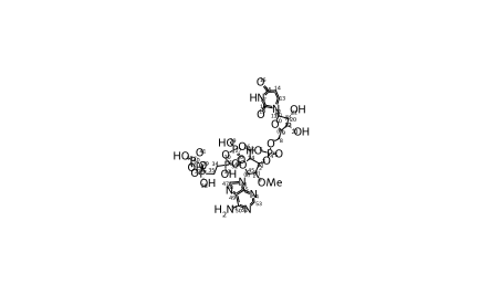 CO[C@@H]1[C@H](OP(=O)(O)OC[C@H]2O[C@@H](n3ccc(=O)[nH]c3=O)[C@H](O)[C@@H]2O)C(COP(=O)(O)OP(=O)(O)CCP(=O)(O)OP(=O)(O)O)O[C@H]1n1cnc2c(N)ncnc21